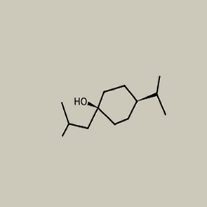 CC(C)C[C@]1(O)CC[C@@H](C(C)C)CC1